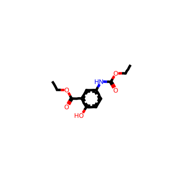 CCOC(=O)Nc1ccc(O)c(C(=O)OCC)c1